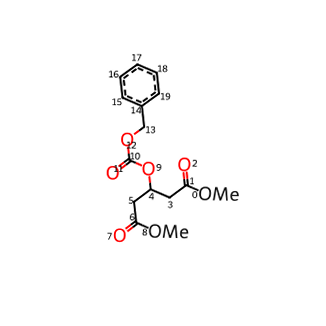 COC(=O)CC(CC(=O)OC)OC(=O)OCc1ccccc1